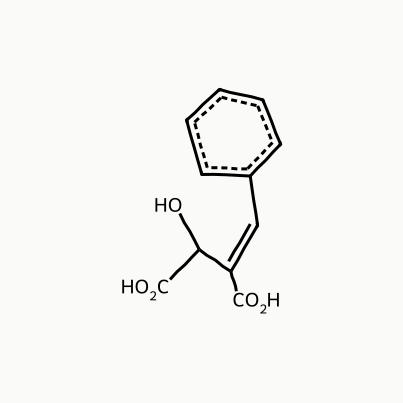 O=C(O)C(=Cc1ccccc1)C(O)C(=O)O